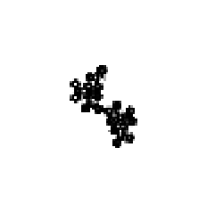 c1ccc([Si](c2ccccc2)(c2cccc(-n3c4ccccc4n4c5ccccc5nc34)c2)c2cc(-n3c4ccccc4c4ccccc43)nc(-n3c4ccccc4c4cc(-c5ccc6c(c5)nc5n(-c7cc([Si](c8ccccc8)(c8ccccc8)c8cccc(-n9c%10ccccc%10n%10c%11ccccc%11nc9%10)c8)cc(-n8c9ccccc9n9c%10ccccc%10nc89)n7)c7ccccc7n65)ccc43)c2)cc1